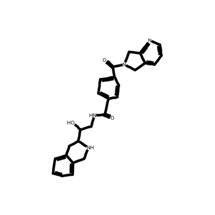 O=C(NCC(O)C1Cc2ccccc2CN1)c1ccc(C(=O)N2Cc3cccnc3C2)cc1